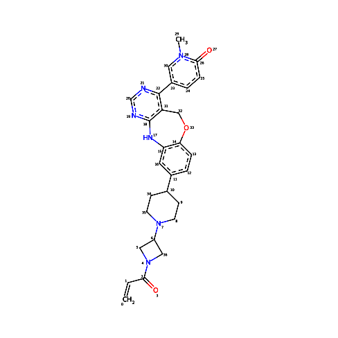 C=CC(=O)N1CC(N2CCC(c3ccc4c(c3)Nc3ncnc(-c5ccc(=O)n(C)c5)c3CO4)CC2)C1